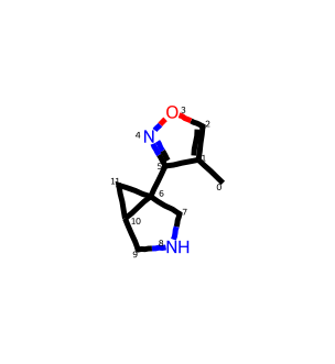 Cc1conc1C12CNCC1C2